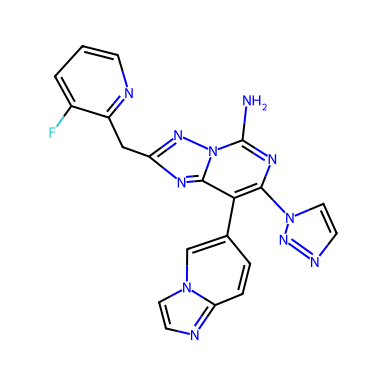 Nc1nc(-n2ccnn2)c(-c2ccc3nccn3c2)c2nc(Cc3ncccc3F)nn12